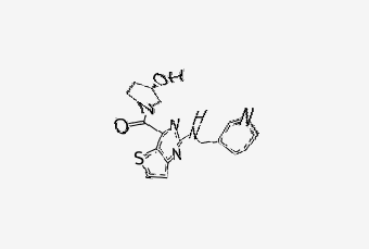 O=C(c1nc(NCc2cccnc2)nc2ccsc12)N1CC[C@@H](O)C1